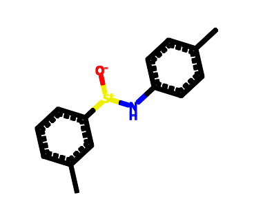 Cc1ccc(N[S+]([O-])c2cccc(C)c2)cc1